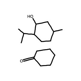 CC1CCC(C(C)C)C(O)C1.O=C1CCCCC1